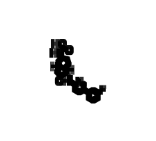 O=C(O)NC1CC[C@@H]2[C@@H](C1)C[C@H](O)[C@H]2C=Cc1ccc(-c2cccc(F)c2)cn1